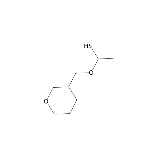 CC(S)OCC1CCCOC1